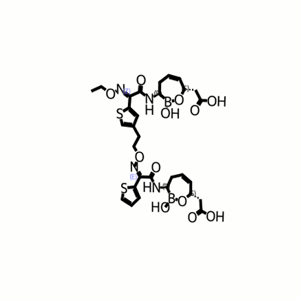 CCO/N=C(/C(=O)N[C@H]1CC=C[C@H](CC(=O)O)OB1O)c1cc(CCO/N=C(\C(=O)N[C@H]2CC=C[C@H](CC(=O)O)OB2O)c2cccs2)cs1